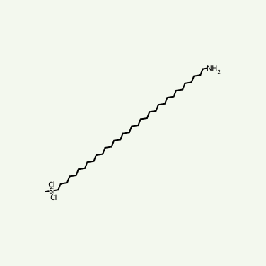 C[Si](Cl)(Cl)CCCCCCCCCCCCCCCCCCCCCCCCCCCCCCCCCCN